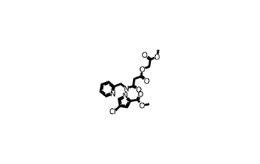 COC(=O)COC(=O)CC(=O)N(Cc1ccccn1)n1cc(Cl)cc1C(=O)OC